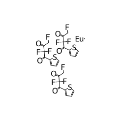 O=C(CF)C(F)(F)C(=O)c1cccs1.O=C(CF)C(F)(F)C(=O)c1cccs1.O=C(CF)C(F)(F)C(=O)c1cccs1.[Eu]